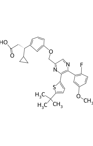 COc1ccc(F)c(-c2ncc(COc3cccc([C@@H](CC(=O)O)C4CC4)c3)nc2-c2ccc(C(C)(C)C)s2)c1